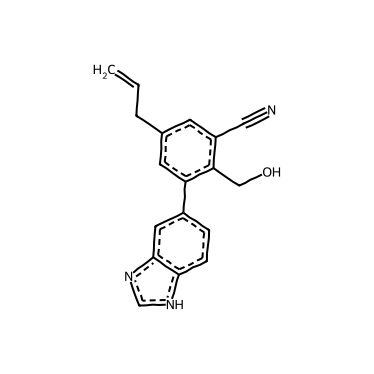 C=CCc1cc(C#N)c(CO)c(-c2ccc3[nH]cnc3c2)c1